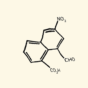 O=Cc1cc([N+](=O)[O-])cc2cccc(C(=O)O)c12